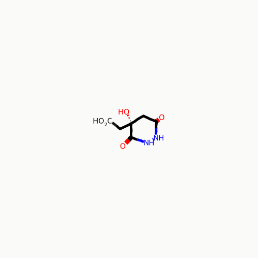 O=C(O)C[C@@]1(O)CC(=O)NNC1=O